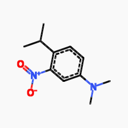 CC(C)c1ccc(N(C)C)cc1[N+](=O)[O-]